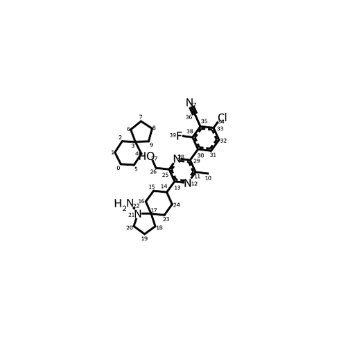 C1CCC2(CC1)CCCC2.Cc1nc(C2CCC3(CCCN3N)CC2)c(CO)nc1-c1ccc(Cl)c(C#N)c1F